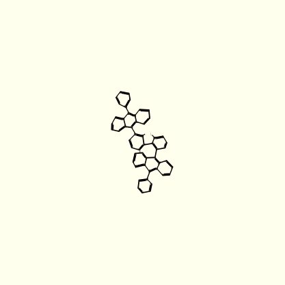 c1ccc(-c2c3ccccc3c(-c3cccc4c3sc3cccc(-c5c6ccccc6c(-c6ccccc6)c6ccccc56)c34)c3ccccc23)cc1